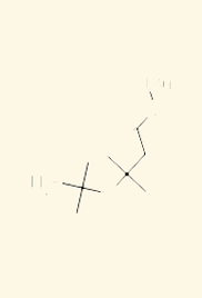 CC(C)(C)OCCC(C)(C)OC(C)(C)P